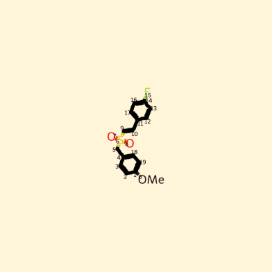 COc1ccc(CS(=O)(=O)C=Cc2ccc(F)cc2)cc1